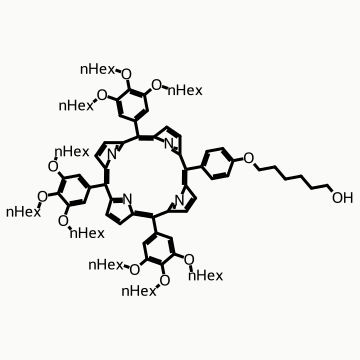 CCCCCCOc1cc(C2=C3C=CC(=N3)C(c3cc(OCCCCCC)c(OCCCCCC)c(OCCCCCC)c3)=C3C=CC(=N3)C(c3cc(OCCCCCC)c(OCCCCCC)c(OCCCCCC)c3)=C3C=CC(=N3)C(c3ccc(OCCCCCCO)cc3)=C3C=CC2=N3)cc(OCCCCCC)c1OCCCCCC